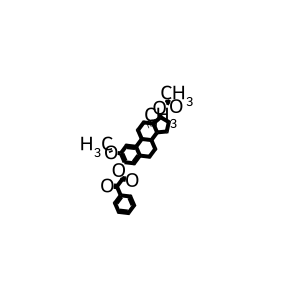 COc1cc2c(cc1OC(=O)C(=O)c1ccccc1)CCC1C2CC[C@]2(C)C(OC(C)=O)CCC12